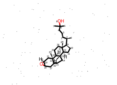 C[C@H](CCCC(C)(C)O)[C@H]1CC[C@H]2[C@@H]3CC=C4CC5O[C@H]5C[C@]4(C)[C@H]3CC[C@]12C